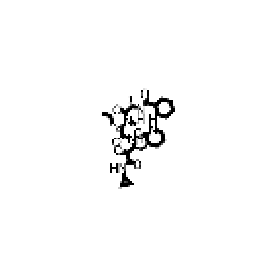 CCC[C@@H](C(=O)N[C@@H](C[C@@H]1CCCNC1=O)C(=O)C(=O)NC1CC1)N(C)C(=O)[C@@H](C)NC(=O)C1CCCCC1